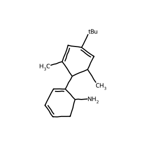 CC1=CC(C(C)(C)C)=CC(C)C1C1=CC=CCC1N